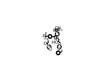 CS(=O)(=O)N1CCc2c(c(-c3ccc(C(F)(F)F)c(SCC(=O)N4CCOCC4)c3)nn2CC(O)CN2CCN(c3ccccc3F)CC2)C1